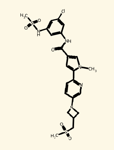 Cn1cc(C(=O)Nc2cc(Cl)cc(NS(C)(=O)=O)c2)cc1-c1ccc(N2CC(CS(C)(=O)=O)C2)cn1